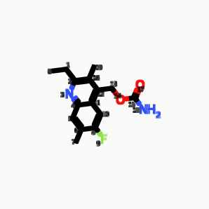 CCc1nc2cc(C)c(F)cc2c(COC(N)=O)c1C